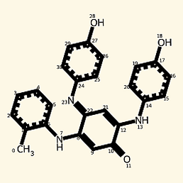 Cc1ccccc1NC1=CC(=O)C(Nc2ccc(O)cc2)=CC1=Nc1ccc(O)cc1